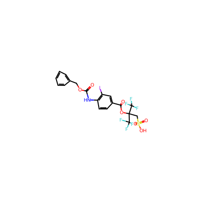 O=C(Nc1ccc(C(=O)OC(CS(=O)(=O)O)(C(F)(F)F)C(F)(F)F)cc1I)OCc1ccccc1